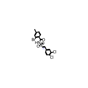 Cc1ccc(C(=O)NS(=O)(=O)/C=C/c2ccc(Cl)c(Cl)c2)c(Br)c1